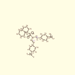 CN(C)c1ccc(/C=C/C(/C=C/c2ccc(N(C)C)cc2)S(=O)(=O)c2cccc3ccccc23)cc1